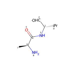 CC(C)[C@@H]([C]=O)NC(=O)[C@H](C)N